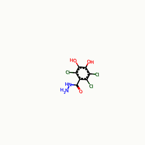 NNC(=O)c1c(Cl)c(O)c(O)c(Cl)c1Cl